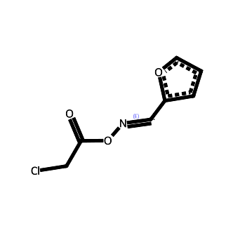 O=C(CCl)O/N=[C]/c1ccco1